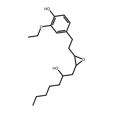 CCCCCC(O)CC1OC1CCc1ccc(O)c(OCC)c1